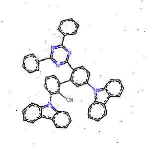 N#Cc1c(-c2cc(-n3c4ccccc4c4ccccc43)ccc2-c2nc(-c3ccccc3)nc(-c3ccccc3)n2)cccc1-n1c2ccccc2c2ccccc21